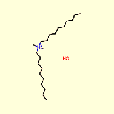 CCCCCCCCCC[N+](C)(C)CCCCCCCCCC.[OH-]